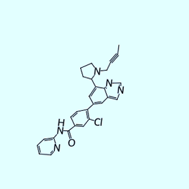 CC#CCN1CCCC1c1cc(-c2ccc(C(=O)Nc3ccccn3)cc2Cl)cc2cncnc12